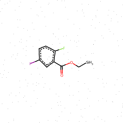 O=C(OC[SiH3])c1cc(I)ccc1F